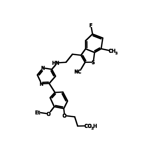 CCOc1cc(-c2cc(NCCc3c(C#N)sc4c(C)cc(F)cc34)ncn2)ccc1OCCC(=O)O